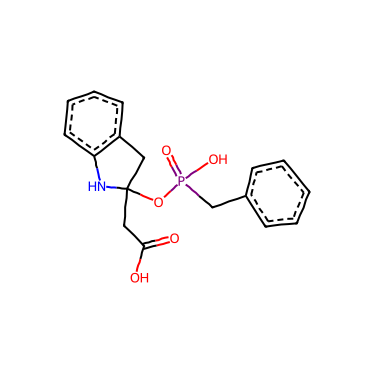 O=C(O)CC1(OP(=O)(O)Cc2ccccc2)Cc2ccccc2N1